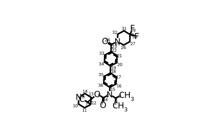 CC(C)N(C(=O)OC1CN2CCC1CC2)c1ccc(-c2ccc(C(=O)N3CCC(F)(F)CC3)cc2)cc1